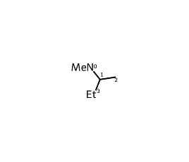 [CH2]NC(C)CC